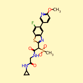 COc1ccc(-c2cc3nc(C(C(=O)NCC(=O)NC4CC4)S(C)(=O)=O)sc3cc2F)cn1